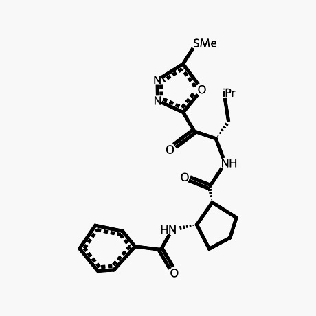 CSc1nnc(C(=O)[C@H](CC(C)C)NC(=O)[C@@H]2CCC[C@@H]2NC(=O)c2ccccc2)o1